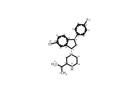 CC(C)C1CN([C@H]2C[C@H](c3ccc(F)cc3)c3ccc(Cl)cc32)CCN1